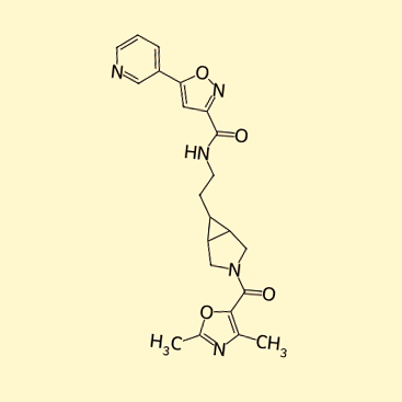 Cc1nc(C)c(C(=O)N2CC3C(CCNC(=O)c4cc(-c5cccnc5)on4)C3C2)o1